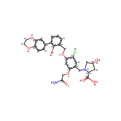 NC(=O)COc1cc(OCc2cccc(-c3ccc4c(c3)OCCO4)c2Br)c(Cl)cc1CN1CC(O)C[C@H]1C(=O)O